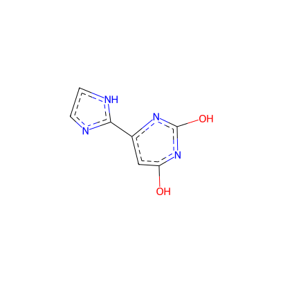 Oc1cc(-c2ncc[nH]2)nc(O)n1